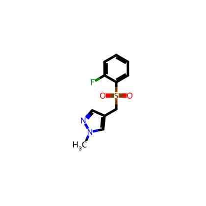 Cn1cc(CS(=O)(=O)c2ccccc2F)cn1